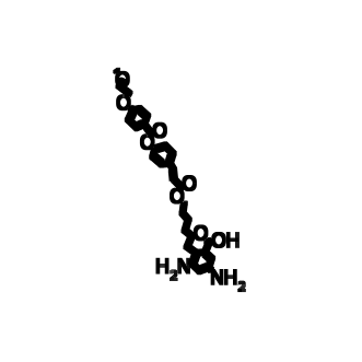 COCCOc1ccc(C(=O)Oc2ccc(C=CC(=O)OCCCCCCc3c(N)cc(N)cc3C(=O)O)cc2)cc1